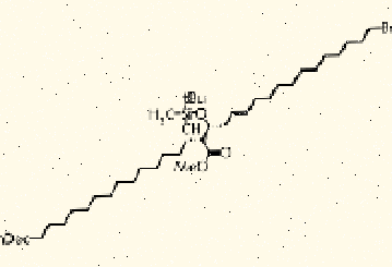 CCCCCCCCCCCCCCCCCCCCCCCC[C@@H](C(=O)OC)[C@@H](C/C=C/CCCCCCCCCCCBr)O[Si](C)(C)C(C)(C)C